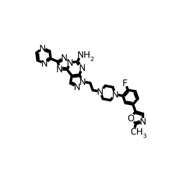 Cc1ncc(-c2ccc(F)c(N3CCN(CCn4ncc5c4nc(N)n4nc(-c6cnccn6)nc54)CC3)c2)o1